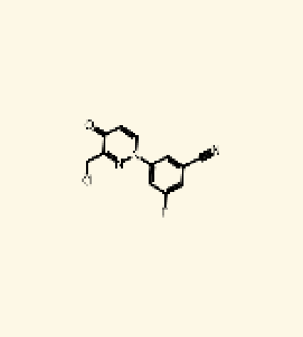 N#Cc1cc(F)cc(-n2ccc(=O)c(CCl)n2)c1